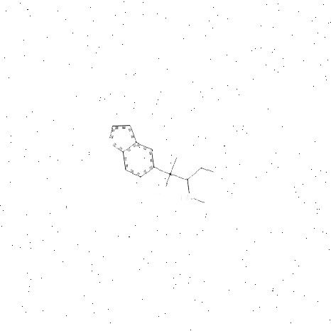 CCNC(CO)C(C)(CC)c1ccc2occc2c1